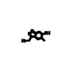 Cc1cc2c(CC(C)C)noc2cc1O